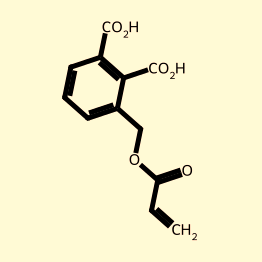 C=CC(=O)OCc1cccc(C(=O)O)c1C(=O)O